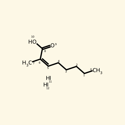 CCCCC/C=C(/C)C(=O)O.I.I